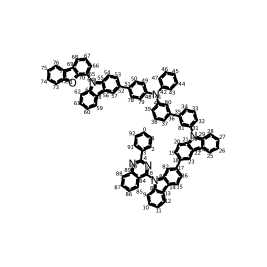 c1ccc(-c2nc(-n3c4ccccc4c4ccc(-c5ccc6c(c5)c5ccccc5n6-c5cccc(-c6cccc(N(c7ccccc7)c7ccc(-c8ccc9c(c8)c8ccccc8n9-c8cccc9c8oc8ccccc89)cc7)c6)c5)cc43)c3ccccc3n2)cc1